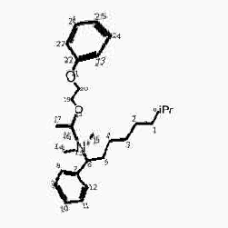 CC(C)CCCCCC(c1ccccc1)[N+](C)(C)C(C)OCCOc1ccccc1